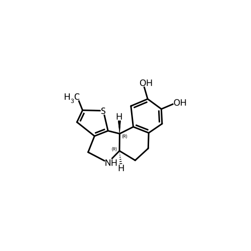 Cc1cc2c(s1)[C@@H]1c3cc(O)c(O)cc3CC[C@H]1NC2